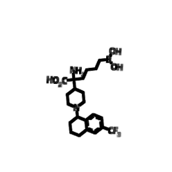 NC(CCCCB(O)O)(C(=O)O)C1CCN(C2CCCc3cc(C(F)(F)F)ccc32)CC1